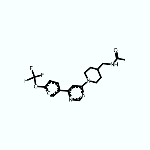 CC(=O)NCC1CCN(c2cc(-c3ccc(OC(F)(F)F)cc3)ncn2)CC1